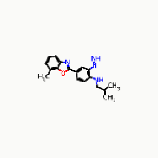 Cc1cccc2nc(-c3ccc(NCC(C)C)c(N=N)c3)oc12